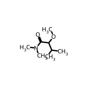 COC(C(=O)N(C)C)C(C)C